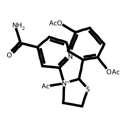 CC(=O)Oc1ccc(OC(C)=O)c(C2SCC[N+]2(C(C)=O)c2cc(C(N)=O)ccn2)c1